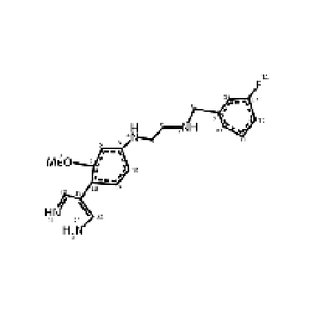 COc1cc(NCCNCc2cccc(F)c2)ccc1/C(C=N)=C/N